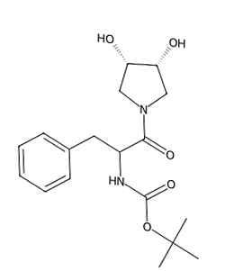 CC(C)(C)OC(=O)NC(Cc1ccccc1)C(=O)N1C[C@@H](O)[C@@H](O)C1